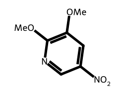 COc1cc([N+](=O)[O-])cnc1OC